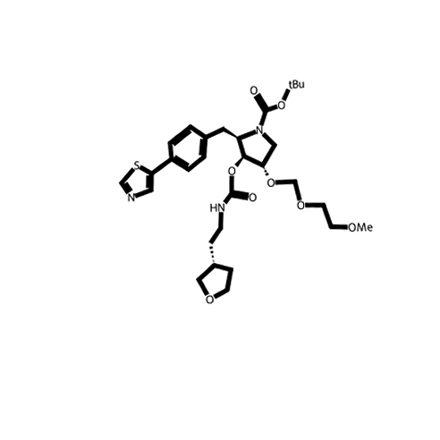 COCCOCO[C@H]1CN(C(=O)OC(C)(C)C)[C@H](Cc2ccc(-c3cncs3)cc2)[C@@H]1OC(=O)NCC[C@@H]1CCOC1